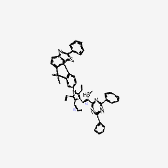 C=Cc1c(/C=C\C)c(/C=C(\BC)c2nc(-c3ccccc3)nc(-c3ccccc3)n2)c(C=C)n1-c1ccc2c(c1)C(C)(C)c1ccc3nc(-c4ccccc4)sc3c1-2